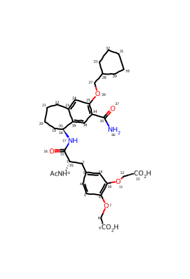 CC(=O)N[C@@H](Cc1ccc(OCC(=O)O)c(OCC(=O)O)c1)C(=O)N[C@H]1CCCCc2cc(OCC3CCCCC3)c(C(N)=O)cc21